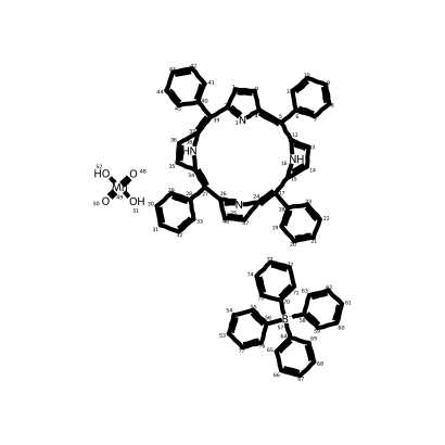 C1=Cc2nc1c(-c1ccccc1)c1ccc([nH]1)c(-c1ccccc1)c1nc(c(-c3ccccc3)c3ccc([nH]3)c2-c2ccccc2)C=C1.[O]=[Mn](=[O])([OH])[OH].c1ccc([B-](c2ccccc2)(c2ccccc2)c2ccccc2)cc1